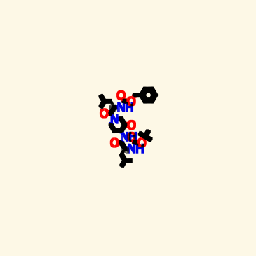 CC(C)C[C@H](NC(=O)OC(C)(C)C)C(=O)NC1CCN(C(=O)[C@H](CC(C)C)NC(=O)OCc2ccccc2)CC1=O